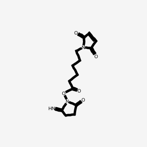 N=C1CCC(=O)N1OC(=O)CCCCCN1C(=O)C=CC1=O